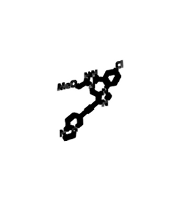 COCc1nnc2n1Cc1c(C#Cc3ccc4nccn4c3)ncn1-c1ccc(Cl)cc1-2